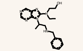 CCN(CCO)c1nc2cncnc2n1C(C)CNCc1ccccc1